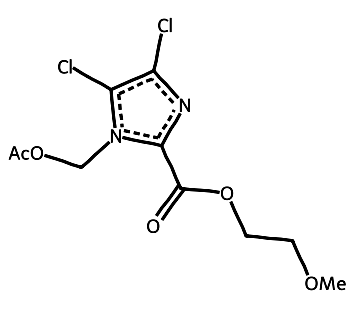 COCCOC(=O)c1nc(Cl)c(Cl)n1COC(C)=O